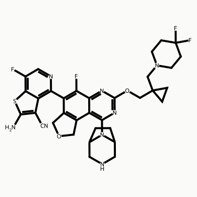 N#Cc1c(N)sc2c(F)cnc(-c3c4c(c5c(N6C7CCC6CNC7)nc(OCC6(CN7CCC(F)(F)CC7)CC6)nc5c3F)COC4)c12